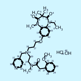 CCN1C(=O)C(C)(C)C(=O)N(C)c2cc(OCCCN(CCN(C)C(=O)Cc3ccccc3OC)Cc3ccncc3)ccc21.Cl.Cl